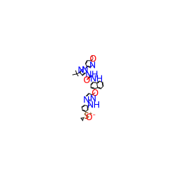 COc1ccc(-n2nc(C(C)(C)C)cc2NC(=O)Nc2ccc(Oc3ccnc(Nc4cccc([S+]([O-])C5CC5)c4)n3)c3ccccc23)cn1